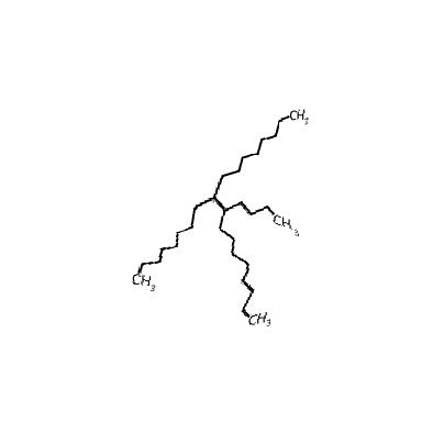 CCCCCCCC[C](CCCCCCCC)C(CCCC)CCCCCCCC